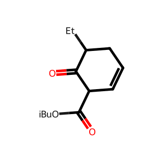 CCC1CC=CC(C(=O)OCC(C)C)C1=O